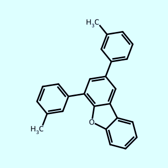 Cc1cccc(-c2cc(-c3cccc(C)c3)c3oc4ccccc4c3c2)c1